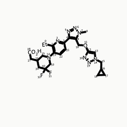 CCc1nc(-c2nnn(C)c2COc2cn(CC3CC3)nn2)ccc1N1CC(CC(=O)O)CC(F)(F)C1